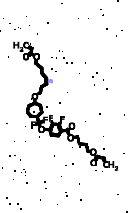 C=CC(=O)OCCC/C=C\CCOC1CCCC(C(F)(F)Oc2ccc(C(=O)OCCCCOC(=O)C=C)c(F)c2F)CC1